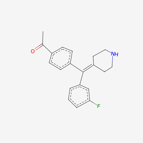 CC(=O)c1ccc(C(=C2CCNCC2)c2cccc(F)c2)cc1